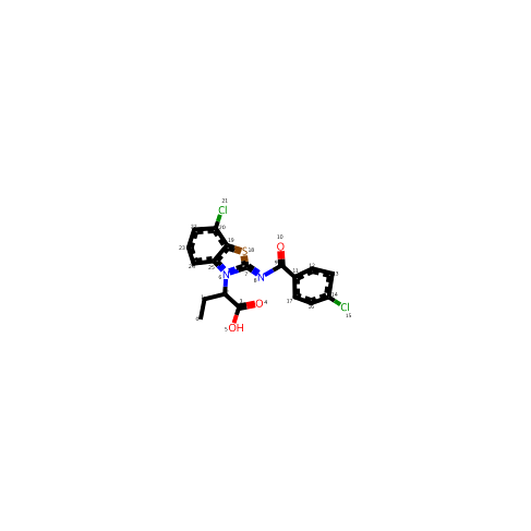 CCC(C(=O)O)n1c(=NC(=O)c2ccc(Cl)cc2)sc2c(Cl)cccc21